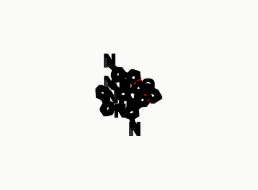 N#Cc1ccc2c(c1)c1ccccc1n2-c1c(C#N)c(-n2c3ccccc3c3ccccc32)c(C#N)c(-n2c3ccccc3c3cc(C#N)ccc32)c1-c1ccc2oc3ccccc3c2c1